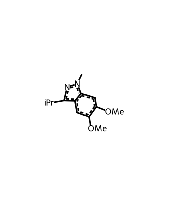 COc1cc2c(C(C)C)nn(C)c2cc1OC